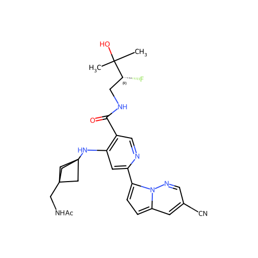 CC(=O)NCC12CC(Nc3cc(-c4ccc5cc(C#N)cnn45)ncc3C(=O)NC[C@@H](F)C(C)(C)O)(C1)C2